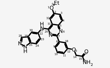 CCOc1ccc2nc(-c3cccc(OCC(N)=O)c3)nc(Nc3ccc4[nH]ncc4c3)c2c1